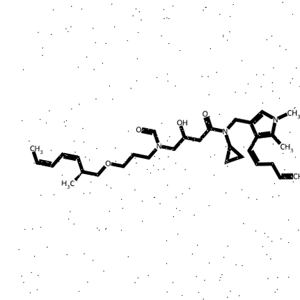 C=CC/C=C\c1c(CN(C(=O)CC(O)CN(C=O)CCCOC[C@@H](C)/C=C\C=C/C)C2CC2)cn(C)c1C